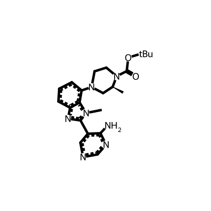 C[C@H]1CN(c2cccc3nc(-c4cncnc4N)n(C)c23)CCN1C(=O)OC(C)(C)C